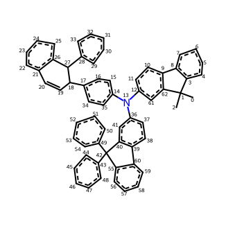 CC1(C)c2ccccc2-c2ccc(N(c3ccc(C4C=Cc5ccccc5C4c4ccccc4)cc3)c3ccc4c(c3)C(c3ccccc3)(c3ccccc3)c3ccccc3-4)cc21